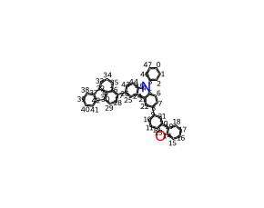 c1ccc(-n2c3ccc(-c4ccc5oc6ccccc6c5c4)cc3c3cc(-c4ccc5c6c(cccc46)-c4ccccc4-5)ccc32)cc1